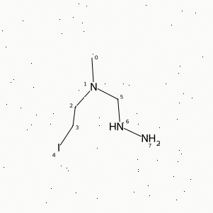 CN(CCI)CNN